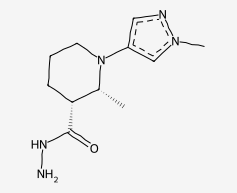 C[C@@H]1[C@H](C(=O)NN)CCCN1c1cnn(C)c1